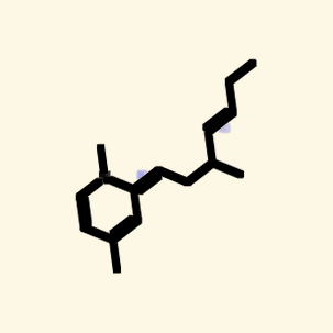 CC/C=C/C(C)C/C=C1\C=C(C)C=CN1C